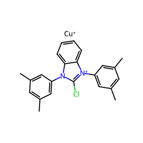 Cc1cc(C)cc(-n2c(Cl)[n+](-c3cc(C)cc(C)c3)c3ccccc32)c1.[Cu+]